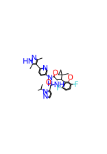 Cc1n[nH]c(C)c1-c1ccc(NC(=O)[C@@H](NC(=O)c2ccnn2C(C)C)C2c3c(F)ccc(F)c3OCC23CC3)cn1